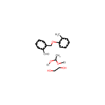 CCOC(C)OCC.Cc1ccccc1OCc1ccccc1C=O.OCCO